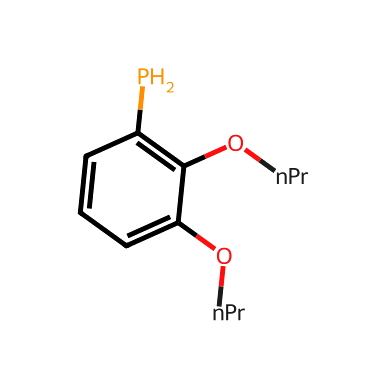 CCCOc1cccc(P)c1OCCC